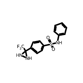 O=S(=O)(Nc1ccccc1)c1ccc(C2(C(F)(F)F)NN2)cc1